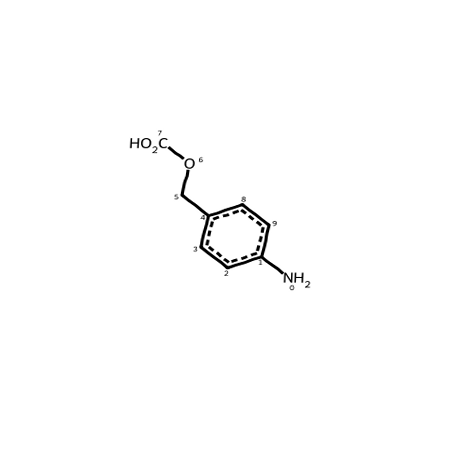 Nc1ccc(COC(=O)O)cc1